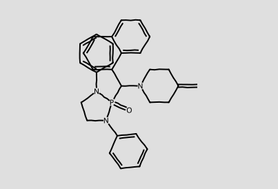 C=C1CCN(C(c2cccc3ccccc23)P2(=O)N(c3ccccc3)CCN2c2ccccc2)CC1